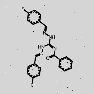 O=C(N=C(NN=Cc1ccc(F)cc1)NN=Cc1ccc(Cl)cc1)c1ccccc1